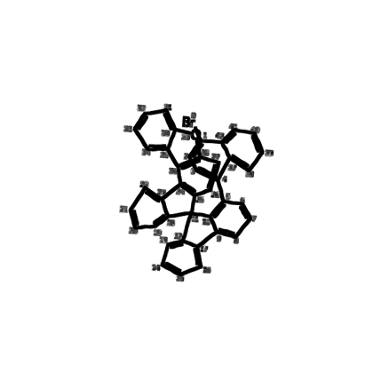 Brc1ccc(-c2cccc3c2C2(c4ccccc4-3)c3ccccc3-c3c2ccc2oc4ccccc4c32)c2ccccc12